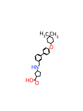 CC1(C)CCC(Oc2ccc(-c3cccc(CNC4CCC(C(=O)O)C4)c3)cc2)CC1